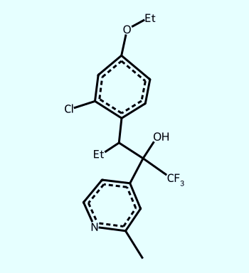 CCOc1ccc(C(CC)C(O)(c2ccnc(C)c2)C(F)(F)F)c(Cl)c1